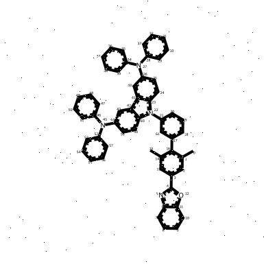 Cc1cc(-c2nc3ccccc3o2)cc(C)c1-c1cccc(-n2c3ccc(N(c4ccccc4)c4ccccc4)cc3c3cc(N(c4ccccc4)c4ccccc4)ccc32)c1